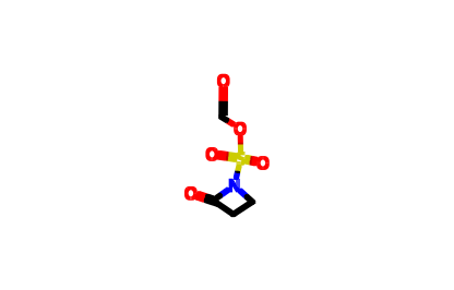 O=COS(=O)(=O)N1CCC1=O